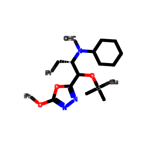 CC(C)C[C@@H](C(O[Si](C)(C)C(C)(C)C)c1nnc(OC(C)C)o1)N(C=O)C1CCCCC1